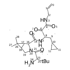 C=CCNC(=O)C(=O)C(CC1CC1)NC(=O)C1C2C(CN1C(=O)C(N)C(C)(C)C)C2(C)C